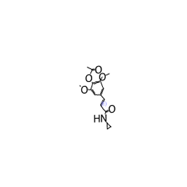 COc1cc(/C=C/C(=O)NC2CC2)cc(OC)c1OC(C)=O